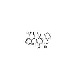 CCC(Cc1ccccc1)C1OC(=O)C(C(c2ccccc2)C(C)O)=C(O)C1=O